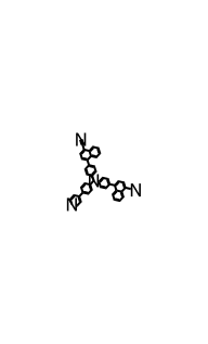 N#Cc1ccc(-c2ccc(N(c3ccc(-c4ccncc4)cc3)c3ccc(-c4ccc(C#N)c5ccccc45)cc3)cc2)c2ccccc12